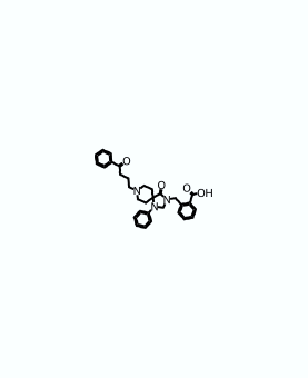 O=C(CCCN1CCC2(CC1)C(=O)N(Cc1ccccc1C(=O)O)CN2c1ccccc1)c1ccccc1